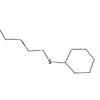 CCCCCSC1CCCCC1